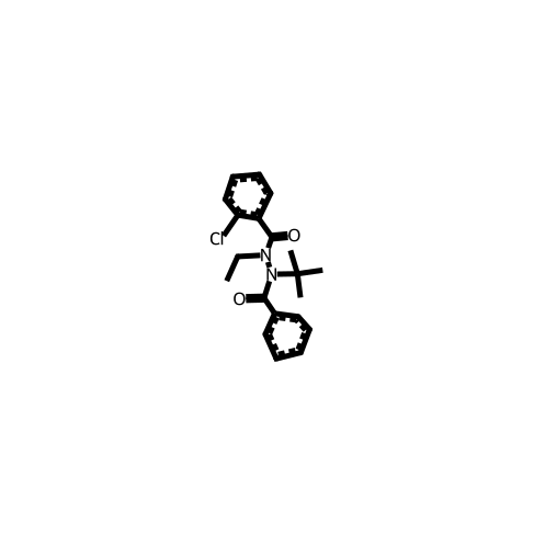 CCN(C(=O)c1ccccc1Cl)N(C(=O)c1ccccc1)C(C)(C)C